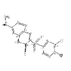 NNc1ccc2cc(S(=O)(=O)c3ccc(Cl)c(Cl)c3)c(=O)oc2c1